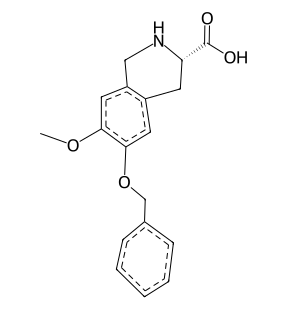 COc1cc2c(cc1OCc1ccccc1)C[C@@H](C(=O)O)NC2